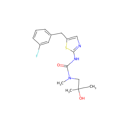 CN(CC(C)(C)O)C(=O)Nc1ncc(Cc2cccc(F)c2)s1